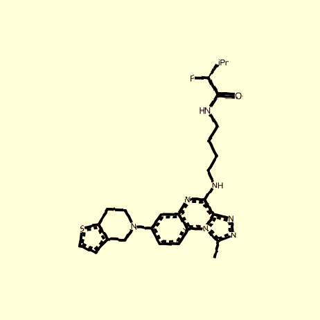 Cc1nnc2c(NCCCCNC(=O)[C@@H](F)C(C)C)nc3cc(N4CCc5sccc5C4)ccc3n12